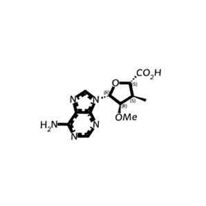 CO[C@@H]1[C@H](C)[C@@H](C(=O)O)O[C@H]1n1cnc2c(N)ncnc21